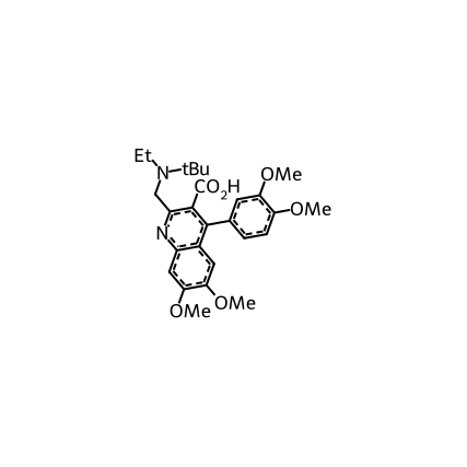 CCN(Cc1nc2cc(OC)c(OC)cc2c(-c2ccc(OC)c(OC)c2)c1C(=O)O)C(C)(C)C